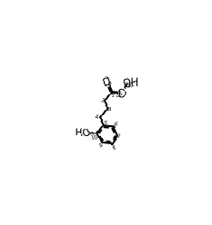 O=C(CCCc1ccccc1O)OO